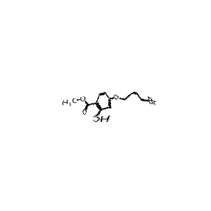 COC(=O)c1ccc(OCCCBr)cc1O